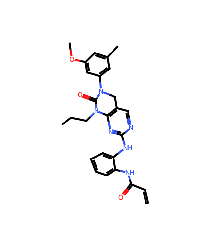 C=CC(=O)Nc1ccccc1Nc1ncc2c(n1)N(CCC)C(=O)N(c1cc(C)cc(OC)c1)C2